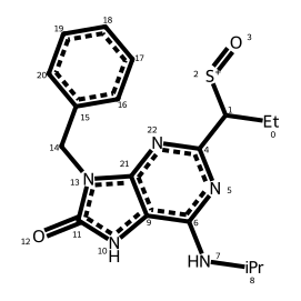 CCC([S+]=O)c1nc(NC(C)C)c2[nH]c(=O)n(Cc3ccccc3)c2n1